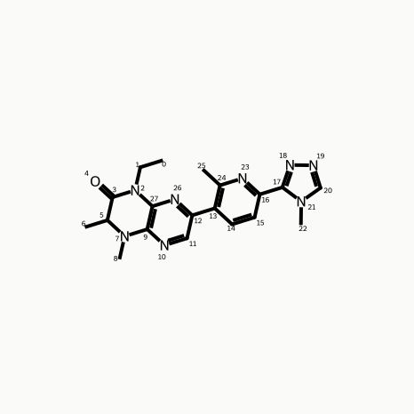 CCN1C(=O)C(C)N(C)c2ncc(-c3ccc(-c4nncn4C)nc3C)nc21